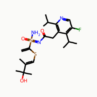 C=C(S/C=C(\C)C(C)(C)O)S(N)(=O)=NC(=O)Cc1c(C(C)C)ncc(F)c1C(C)C